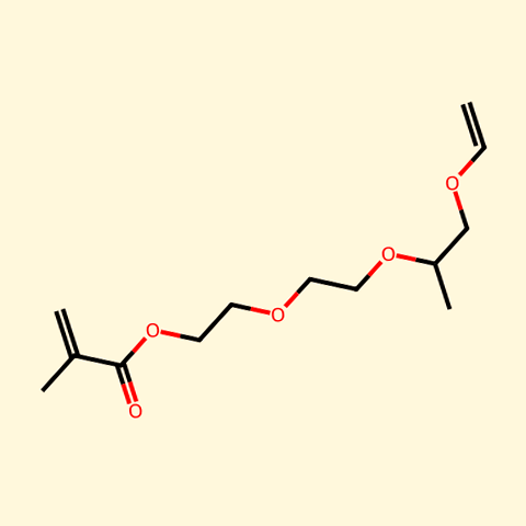 C=COCC(C)OCCOCCOC(=O)C(=C)C